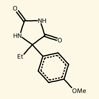 CCC1(c2ccc(OC)cc2)NC(=O)NC1=O